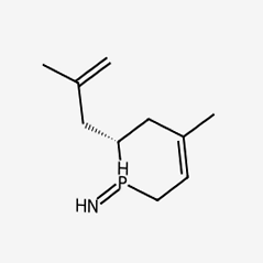 C=C(C)C[C@@H]1CC(C)=CC[PH]1=N